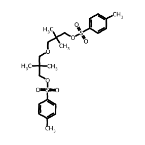 Cc1ccc(S(=O)(=O)OCC(C)(C)COCC(C)(C)COS(=O)(=O)c2ccc(C)cc2)cc1